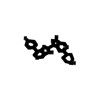 Fc1ccc(-c2cncc3[nH]c(-c4n[nH]c5cnc(C6CCNCC6)cc45)nc23)cc1